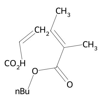 C=CC(=O)O.CC=C(C)C(=O)OCCCC